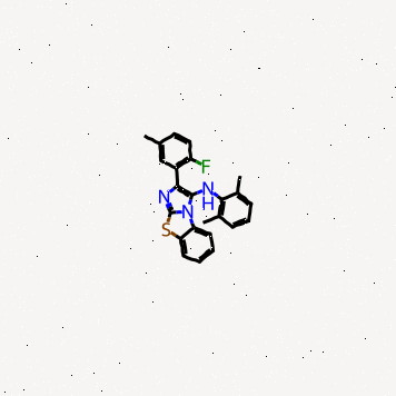 Cc1ccc(F)c(-c2nc3sc4ccccc4n3c2Nc2c(C)cccc2C)c1